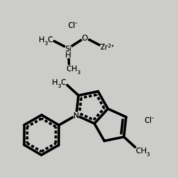 CC1=Cc2cc(C)n(-c3ccccc3)c2C1.C[SiH](C)[O][Zr+2].[Cl-].[Cl-]